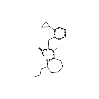 CCCC1CCCCc2c1oc(=O)c(Cc1ccccc1C1CC1)c2O